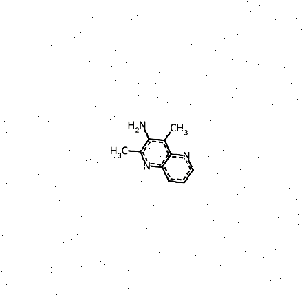 Cc1nc2cccnc2c(C)c1N